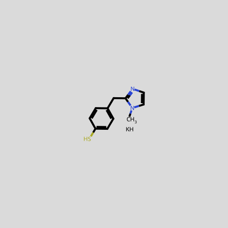 Cn1ccnc1Cc1ccc(S)cc1.[KH]